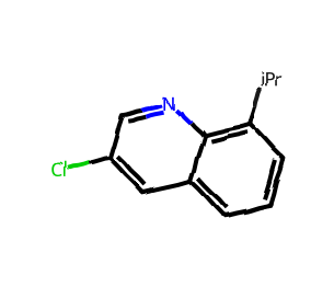 CC(C)c1cccc2cc(Cl)cnc12